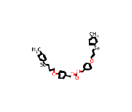 Cc1ccc([Se]CC=COc2ccc(COC(=O)OCc3ccc(OC=CC[Se]c4ccc(C)cc4)cc3)cc2)cc1